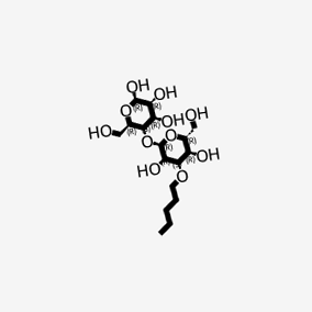 CCCCCO[C@@H]1[C@@H](O)[C@@H](O[C@H]2[C@H](O)[C@@H](O)[C@H](O)O[C@@H]2CO)O[C@H](CO)[C@H]1O